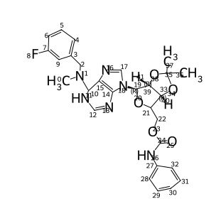 CN(Cc1cccc(F)c1)C1NC=Nc2c1ncn2[C@@H]1OC(COC(=O)Nc2ccccc2)[C@H]2OC(C)(C)O[C@H]21